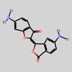 CCN(CC)c1ccc2c(c1)O/C(=C1\OC(=O)c3ccc(N(CC)CC)cc31)C2=O